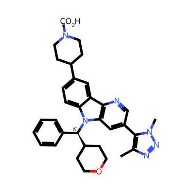 Cc1nnn(C)c1-c1cnc2c3cc(C4CCN(C(=O)O)CC4)ccc3n([C@H](c3ccccc3)C3CCOCC3)c2c1